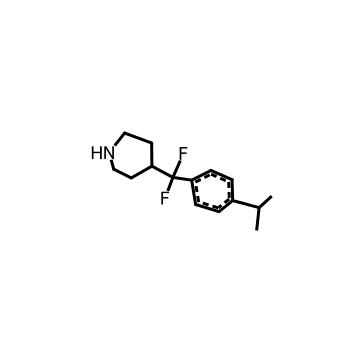 CC(C)c1ccc(C(F)(F)C2CCNCC2)cc1